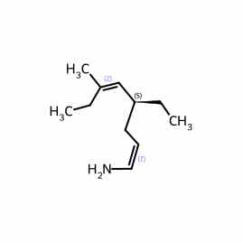 CC/C(C)=C\[C@@H](CC)C/C=C\N